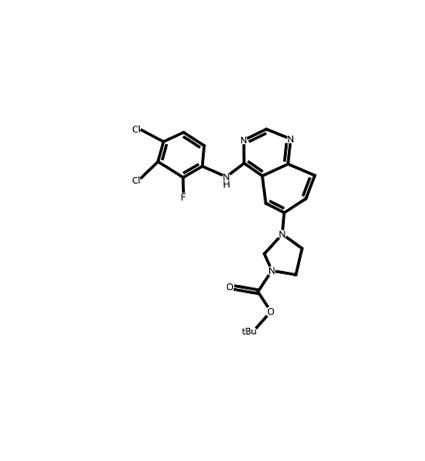 CC(C)(C)OC(=O)N1CCN(c2ccc3ncnc(Nc4ccc(Cl)c(Cl)c4F)c3c2)C1